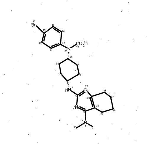 CN(C)c1nc(N[C@H]2CC[C@@H](N(C(=O)O)c3ccc(Br)cc3)CC2)nc2c1CCCC2